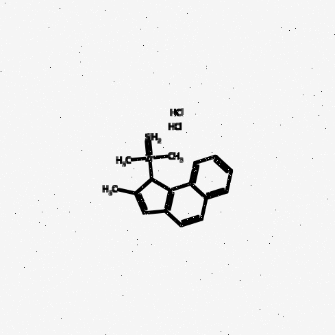 CC1=Cc2ccc3ccccc3c2[CH]1[Zr]([CH3])([CH3])=[SiH2].Cl.Cl